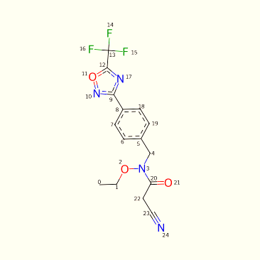 CCON(Cc1ccc(-c2noc(C(F)(F)F)n2)cc1)C(=O)CC#N